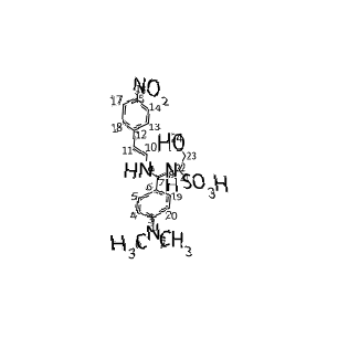 CN(C)c1ccc(C(=N)NC=Cc2ccc([N+](=O)[O-])cc2)cc1.O=S(=O)(O)CCO